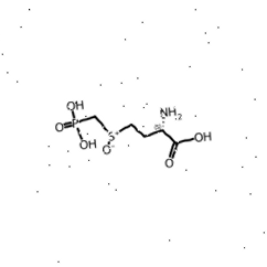 N[C@@H](CC[S+]([O-])CP(=O)(O)O)C(=O)O